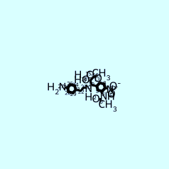 CC(=O)Nc1cc2c(cc1[N+](=O)[O-])OC(C)(C)C(O)C2NCCc1ccc(N)cc1